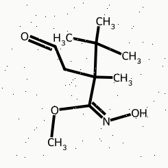 COC(=NO)C(C)(CC=O)C(C)(C)C